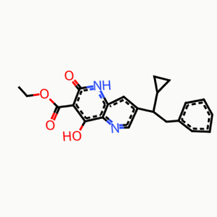 CCOC(=O)c1c(O)c2ncc(C(Cc3ccccc3)C3CC3)cc2[nH]c1=O